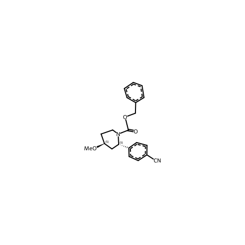 CO[C@H]1CCN(C(=O)OCc2ccccc2)[C@H](c2ccc(C#N)cc2)C1